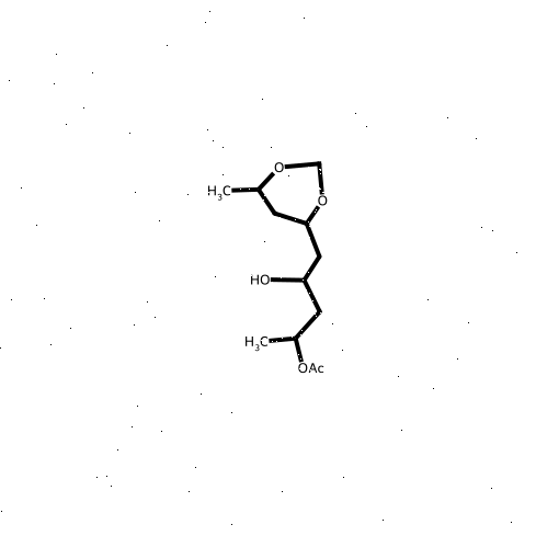 CC(=O)OC(C)CC(O)CC1CC(C)OCO1